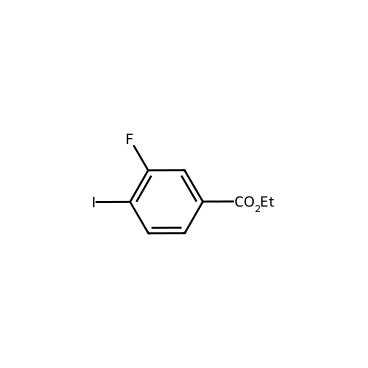 CCOC(=O)c1ccc(I)c(F)c1